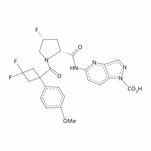 COc1ccc(C2(C(=O)N3C[C@H](F)C[C@@H]3C(=O)Nc3ccc4c(cnn4C(=O)O)n3)CC(F)(F)C2)cc1